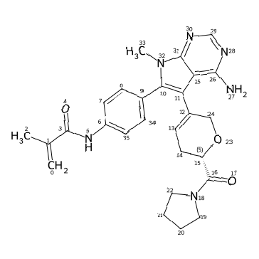 C=C(C)C(=O)Nc1ccc(-c2c(C3=CC[C@@H](C(=O)N4CCCC4)OC3)c3c(N)ncnc3n2C)cc1